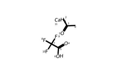 CC(C)=O.O=C(O)C(F)(F)F.[CaH2]